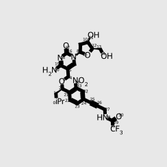 CC(C)C[C@@H](OCc1cn([C@H]2C[C@@H](O)[C@@H](CO)O2)c(=O)nc1N)c1ccc(C#CCNC(=O)C(F)(F)F)cc1[N+](=O)[O-]